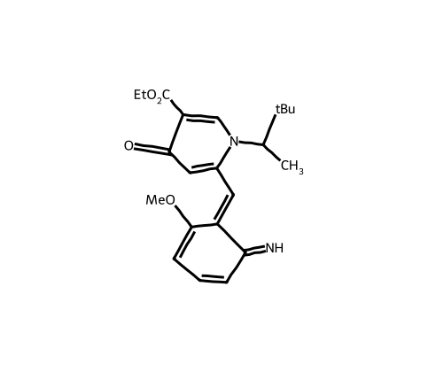 CCOC(=O)c1cn(C(C)C(C)(C)C)c(/C=C2/C(=N)C=CC=C2OC)cc1=O